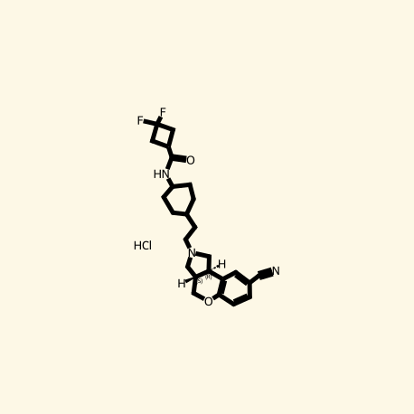 Cl.N#Cc1ccc2c(c1)[C@@H]1CN(CCC3CCC(NC(=O)C4CC(F)(F)C4)CC3)C[C@H]1CO2